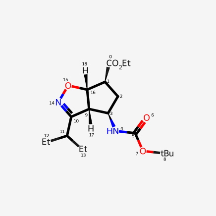 CCOC(=O)[C@H]1C[C@@H](NC(=O)OC(C)(C)C)[C@@H]2C(C(CC)CC)=NO[C@@H]21